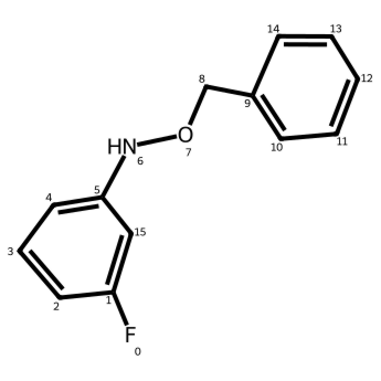 Fc1cccc(NOCc2ccccc2)c1